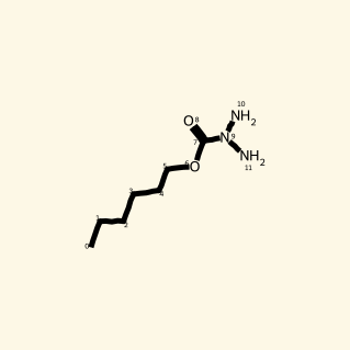 CCCCCCOC(=O)N(N)N